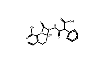 C=CC1=C(C(=O)O)N2C(=O)[C@@H](NC(=O)C(C(=O)O)c3ccccc3)[C@@H]2SC1